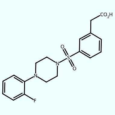 O=C(O)Cc1cccc(S(=O)(=O)N2CCN(c3ccccc3F)CC2)c1